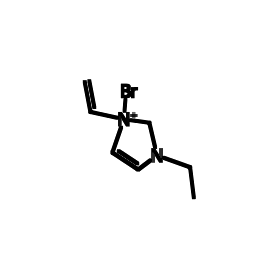 C=C[N+]1(Br)C=CN(CC)C1